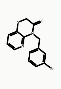 O=C1CSc2cccnc2N1Cc1cccc(Br)c1